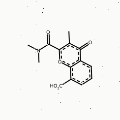 Cc1c(C(=O)N(C)C)oc2c(C(=O)O)cccc2c1=O